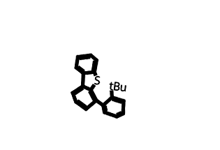 CC(C)(C)c1ccccc1-c1cccc2c1sc1ccccc12